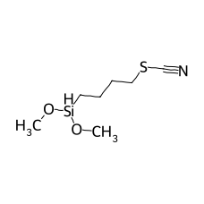 CO[SiH](CCCCSC#N)OC